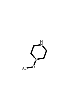 CC(=O)ON1CCNCC1